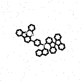 c1ccc2c(c1)Oc1c(-c3ccc(N(c4cccc5c4-c4ccccc4C54c5ccccc5-c5ccccc54)c4cccc5ccccc45)cc3)ccc3c4ccccc4n-2c13